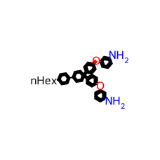 CCCCCC[C@H]1CC[C@@H](C2CCC(c3ccc(Oc4cccc(N)c4)cc3)(c3ccc(Oc4cccc(N)c4)cc3)CC2)CC1